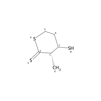 C[C@@H]1C(=S)SCCC1S